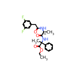 CCOC(=O)C(C)(NC(=O)[C@H](C)NC(=O)Cc1cc(F)cc(F)c1)c1ccccc1